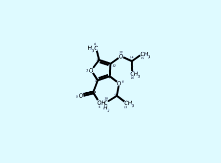 Cc1oc(C(=O)O)c(OC(C)C)c1OC(C)C